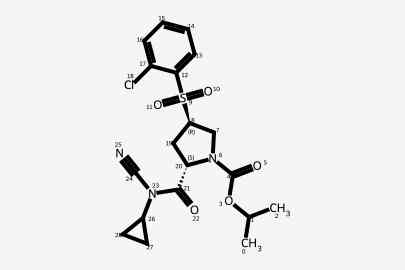 CC(C)OC(=O)N1C[C@H](S(=O)(=O)c2ccccc2Cl)C[C@H]1C(=O)N(C#N)C1CC1